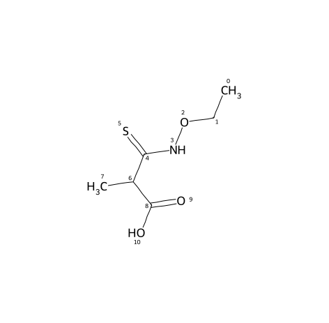 CCONC(=S)C(C)C(=O)O